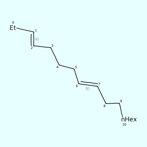 [CH2]C/C=C/CCC/C=C/CCCCCCCC